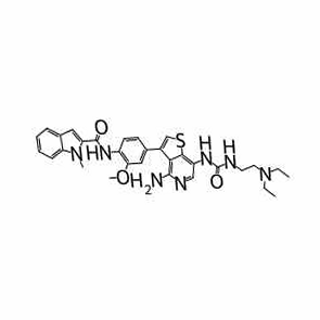 CCN(CC)CCNC(=O)Nc1cnc(N)c2c(-c3ccc(NC(=O)c4cc5ccccc5n4C)c(OC)c3)csc12